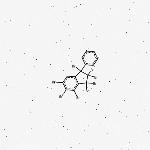 Brc1cc2c(c(Br)c1Br)C(Br)(Br)C(Br)(Br)C2(Br)c1ccccc1